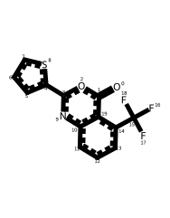 O=c1oc(-c2cccs2)nc2cccc(C(F)(F)F)c12